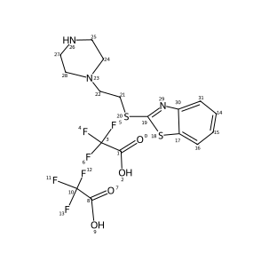 O=C(O)C(F)(F)F.O=C(O)C(F)(F)F.c1ccc2sc(SCCN3CCNCC3)nc2c1